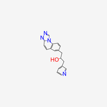 OC(Cc1cccnc1)Cc1ccc2c(ccc3nncn32)c1